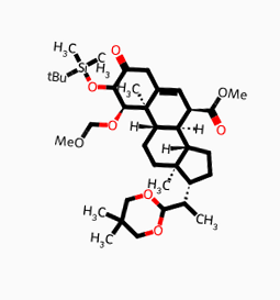 COCO[C@H]1C(O[Si](C)(C)C(C)(C)C)C(=O)CC2=C[C@@H](C(=O)OC)[C@H]3[C@@H]4CC[C@H](C(C)C5OCC(C)(C)CO5)[C@@]4(C)CC[C@@H]3[C@]21C